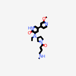 CCN(c1cc(-c2ccnc(OC)c2)c[nH]c1=O)[C@@H]1CCN(C(=O)/C=C/CNC)C1